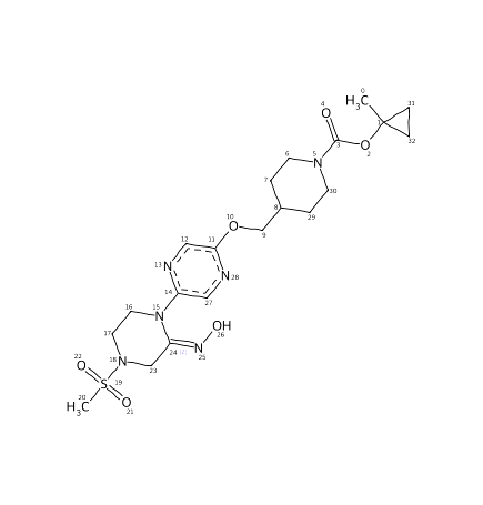 CC1(OC(=O)N2CCC(COc3cnc(N4CCN(S(C)(=O)=O)C/C4=N/O)cn3)CC2)CC1